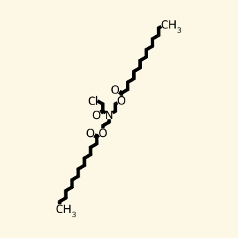 CCCCCCCCCCCCCC(=O)OCCN(CCOC(=O)CCCCCCCCCCCCC)C(=O)CCl